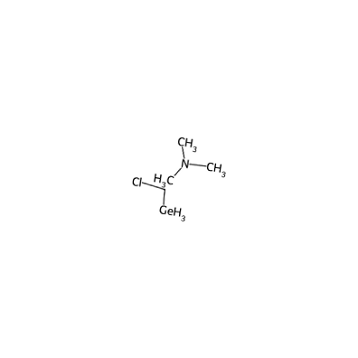 CN(C)C.Cl[CH2][GeH3]